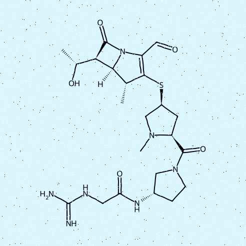 C[C@@H](O)[C@H]1C(=O)N2C(C=O)=C(S[C@H]3C[C@@H](C(=O)N4CC[C@H](NC(=O)CNC(=N)N)C4)N(C)C3)[C@H](C)[C@@H]12